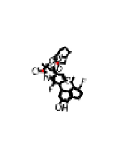 CCc1c(F)ccc2cc(O)cc(-c3c(Cl)cc4c(N5CC6CCC(C5)N6C(=O)OC(C)(C)C)nc(Cl)nc4c3F)c12